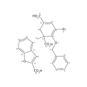 CCC1=C(OCc2ccccc2)C(C)(C(=O)O)CC(C(=O)O)=C1.O=C(O)c1cc2ccccc2o1